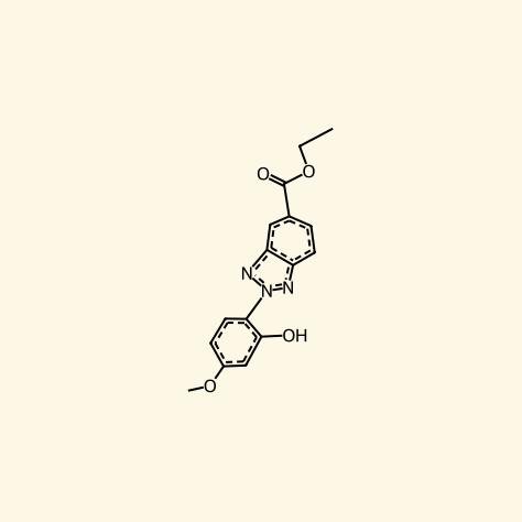 CCOC(=O)c1ccc2nn(-c3ccc(OC)cc3O)nc2c1